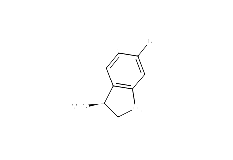 CN[C@@H]1COc2cc(N)ccc21